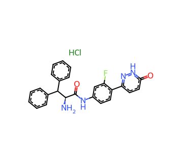 Cl.N[C@H](C(=O)Nc1ccc(-c2ccc(=O)[nH]n2)c(F)c1)C(c1ccccc1)c1ccccc1